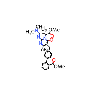 CCCCc1nc(N=CN(C)C)n(C(C)C(=O)OC)c(=O)c1Cc1ccc(-c2ccccc2C(=O)OC)cc1